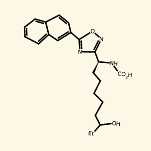 CCC(O)CCCCC[C@H](NC(=O)O)c1noc(-c2ccc3ccccc3c2)n1